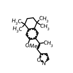 COc1cc2c(cc1C(C)=Cc1ccno1)C(C)(C)CCC2(C)C